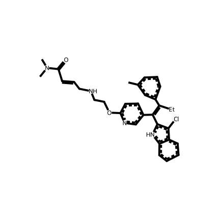 CC/C(=C(/c1ccc(OCCNC/C=C/C(=O)N(C)C)nc1)c1[nH]c2ccccc2c1Cl)c1cccc(C)c1